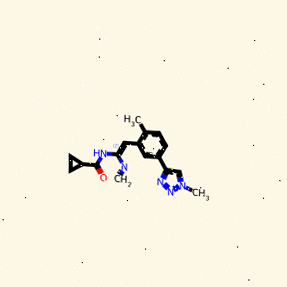 C=N/C(=C\c1cc(-c2cn(C)nn2)ccc1C)NC(=O)C1CC1